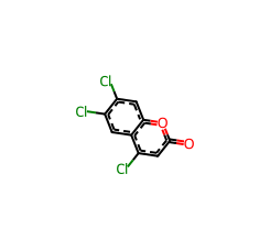 O=c1cc(Cl)c2cc(Cl)c(Cl)cc2o1